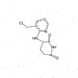 O=C1CCC(Nc2ncccc2CCl)C(=O)N1